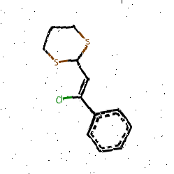 ClC(=CC1SCCCS1)c1ccccc1